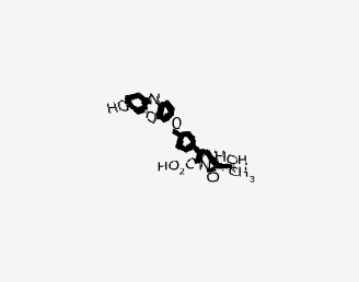 C[C@@H](O)[C@H]1C(=O)N2C(C(=O)O)=C(c3ccc(COc4ccc5c(c4)OC4=CC(O)C=CC4=N5)cc3)C[C@H]12